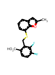 Cc1cc2cccc(SCc3c(C(=O)O)ccc(F)c3F)c2o1